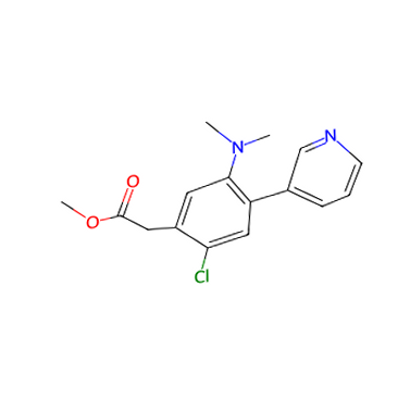 COC(=O)Cc1cc(N(C)C)c(-c2cccnc2)cc1Cl